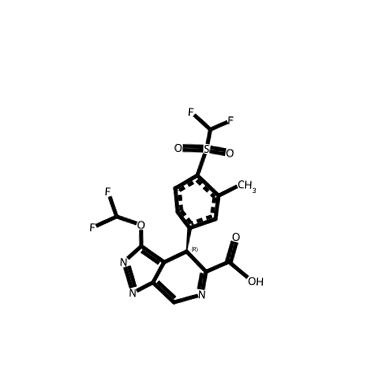 Cc1cc([C@H]2C(C(=O)O)=NC=C3N=NC(OC(F)F)=C32)ccc1S(=O)(=O)C(F)F